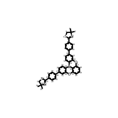 CC1(C)CSC(c2ccc(-c3ccc4c(c3)Oc3cccc5c3B4c3ccc(-c4ccc(C6=NC(C)(C)CS6)cc4)cc3O5)cc2)=N1